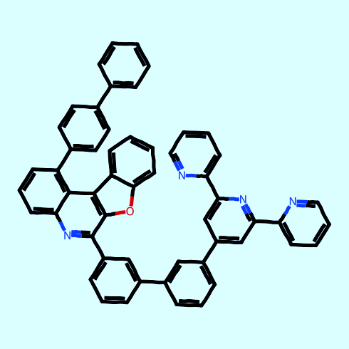 c1ccc(-c2ccc(-c3cccc4nc(-c5cccc(-c6cccc(-c7cc(-c8ccccn8)nc(-c8ccccn8)c7)c6)c5)c5oc6ccccc6c5c34)cc2)cc1